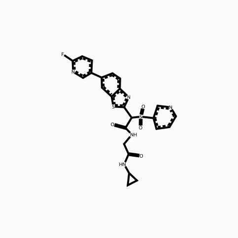 O=C(CNC(=O)C(c1nc2ccc(-c3ccc(F)nc3)cc2s1)S(=O)(=O)c1cccnc1)NC1CC1